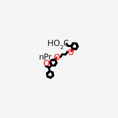 CCCc1c(OCCCCOc2ccccc2CC(=O)O)ccc2c(-c3ccccc3)coc12